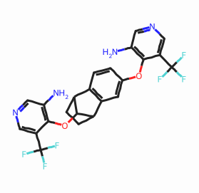 Nc1cncc(C(F)(F)F)c1Oc1ccc2c(c1)C1CCC2C1Oc1c(N)cncc1C(F)(F)F